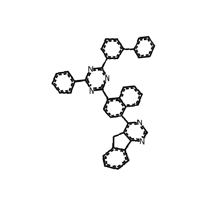 c1ccc(-c2cccc(-c3nc(-c4ccccc4)nc(-c4ccc(-c5ncnc6c5Cc5ccccc5-6)c5ccccc45)n3)c2)cc1